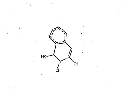 OC1=Cc2ccccc2C(S)N1Cl